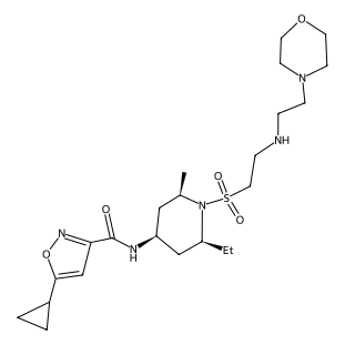 CC[C@H]1C[C@@H](NC(=O)c2cc(C3CC3)on2)C[C@@H](C)N1S(=O)(=O)CCNCCN1CCOCC1